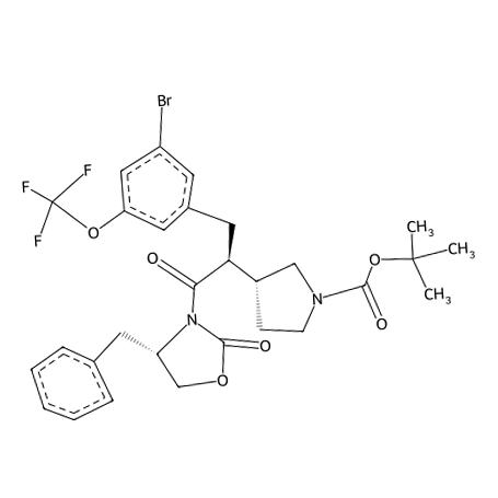 CC(C)(C)OC(=O)N1CC[C@H]([C@H](Cc2cc(Br)cc(OC(F)(F)F)c2)C(=O)N2C(=O)OC[C@@H]2Cc2ccccc2)C1